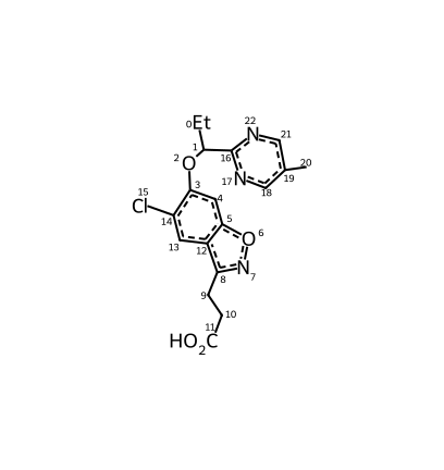 CCC(Oc1cc2onc(CCC(=O)O)c2cc1Cl)c1ncc(C)cn1